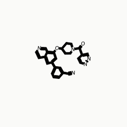 N#Cc1cccc(-c2cc(OC3CCN(C(=O)c4ccnnc4)CC3)c3cnccc3c2)c1